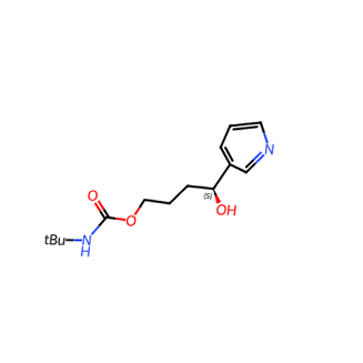 CC(C)(C)NC(=O)OCCC[C@H](O)c1cccnc1